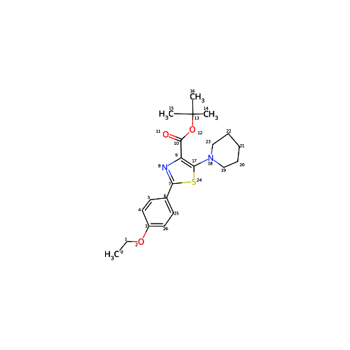 CCOc1ccc(-c2nc(C(=O)OC(C)(C)C)c(N3CCCCC3)s2)cc1